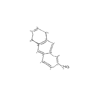 O=Cc1ccc2cc3c(cc2c1)CC=CC3